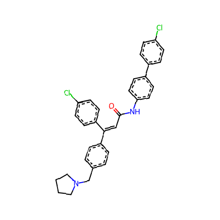 O=C(/C=C(\c1ccc(Cl)cc1)c1ccc(CN2CCCC2)cc1)Nc1ccc(-c2ccc(Cl)cc2)cc1